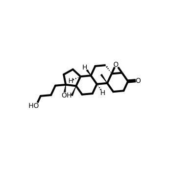 C[C@]12CC[C@H]3[C@@H](CC[C@]45OC4C(=O)CC[C@]35C)[C@@H]1CC[C@@]2(O)CCCO